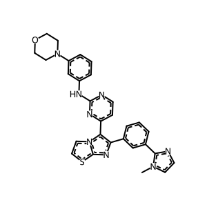 Cn1ccnc1-c1cccc(-c2nc3sccn3c2-c2ccnc(Nc3cccc(N4CCOCC4)c3)n2)c1